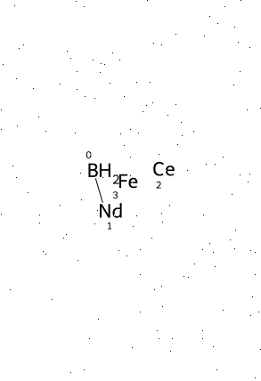 [BH2][Nd].[Ce].[Fe]